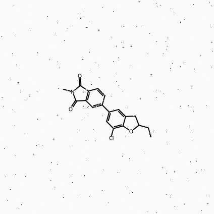 CCC1Cc2cc(-c3ccc4c(c3)C(=O)N(C)C4=O)cc(Cl)c2O1